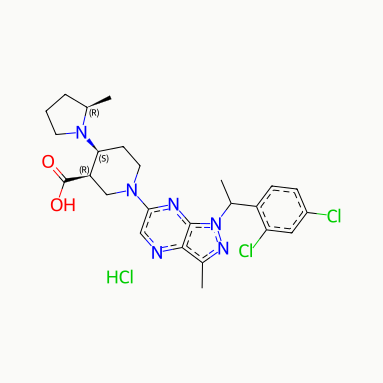 Cc1nn(C(C)c2ccc(Cl)cc2Cl)c2nc(N3CC[C@H](N4CCC[C@H]4C)[C@H](C(=O)O)C3)cnc12.Cl